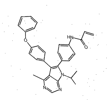 C=CC(=O)Nc1ccc(-c2c(-c3ccc(Oc4ccccc4)cc3)c3c(C)ncnc3n2C(C)C)cc1